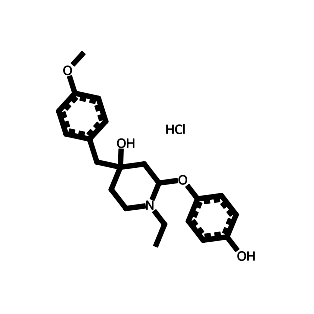 CCN1CCC(O)(Cc2ccc(OC)cc2)CC1Oc1ccc(O)cc1.Cl